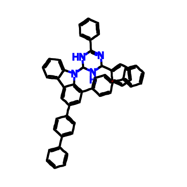 c1ccc(C2=NC(c3ccccc3)NC(n3c4ccccc4c4cc(-c5ccc(-c6ccccc6)cc5)cc(-c5ccc(-c6ccccc6)cc5)c43)N2)cc1